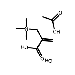 C=C(C[N+](C)(C)C)C(=O)O.CC(=O)O.Cl